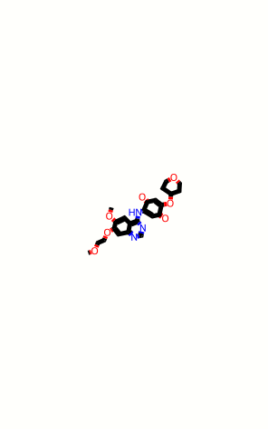 COCCOc1cc2ncnc(NC3=CC(=O)C(OC4CCOCC4)=CC3=O)c2cc1OC